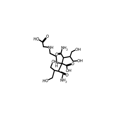 NC(=O)C(C(CO)CO)C(NCCNCC(=O)O)(C(=O)O)C(C(N)=O)C(CO)CO